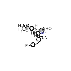 C/C(C(=N)Nc1ccc(S(=O)(=O)N(C)C)cc1)=C(\C=C/NC=O)NC1(CC#N)CCN(Cc2ccc(C(C)C)cc2)CC1